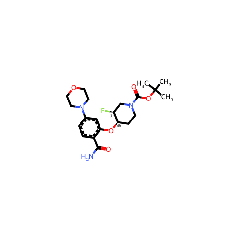 CC(C)(C)OC(=O)N1CC[C@@H](Oc2cc(N3CCOCC3)ccc2C(N)=O)[C@@H](F)C1